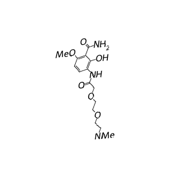 CNCCOCCOCC(=O)Nc1ccc(OC)c(C(N)=O)c1O